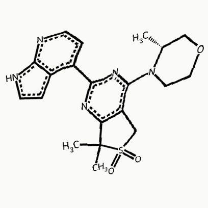 C[C@@H]1COCCN1c1nc(-c2ccnc3[nH]ccc23)nc2c1CS(=O)(=O)C2(C)C